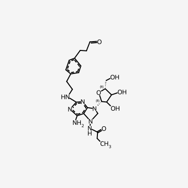 CCC(=O)NN1CN([C@@H]2O[C@H](CO)C(O)C2O)c2nc(NCCc3ccc(CCC=O)cc3)nc(N)c21